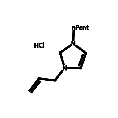 C=CCN1C=CN(CCCCC)C1.Cl